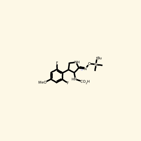 COc1cc(F)c(C2CN/C(=N\O[Si](C)(C)C(C)(C)C)C2NC(=O)O)c(F)c1